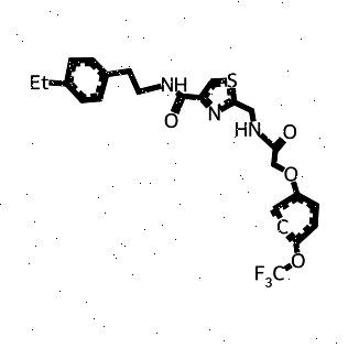 CCc1ccc(CCNC(=O)c2csc(CNC(=O)COc3ccc(OC(F)(F)F)cc3)n2)cc1